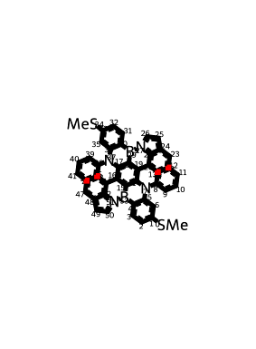 CSc1ccc2c(c1)N(c1ccccc1)c1c3c(c4c5c1-c1cccc6ccn(c16)B5c1ccc(SC)cc1N4c1ccccc1)-c1cccc4ccn(c14)B23